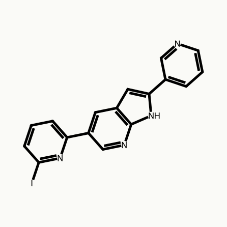 Ic1cccc(-c2cnc3[nH]c(-c4cccnc4)cc3c2)n1